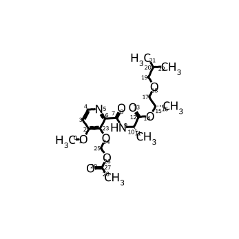 COc1ccnc(C(=O)N[C@@H](C)C(=O)O[C@@H](C)COCC(C)C)c1OCOC(C)=O